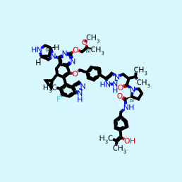 CO[C@@H](C)COc1nc2c(c(N3C[C@@H]4C[C@H]3CN4)n1)CC(C1CC1)C(c1c(C)c(F)cc3[nH]ncc13)=C2OCc1ccc(C2=CN(CC(C(=O)N3CCC[C@H]3C(=O)NCc3ccc(C(O)=C(C)C)cc3)C(C)C)NN2)cc1